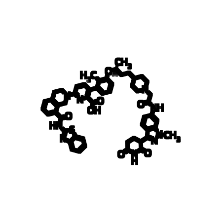 Cc1c(O[C@H](C)CCC2CCN(CC(=O)Nc3ccc4c(C5CCC(=O)NC5=O)nn(C)c4c3)CC2)cccc1-c1ccc(N2CCc3cccc(C(=O)Nc4nc5ccccc5s4)c3C2)nc1C(=O)O